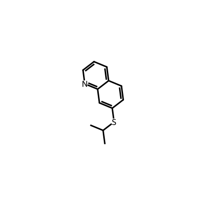 CC(C)Sc1ccc2cccnc2c1